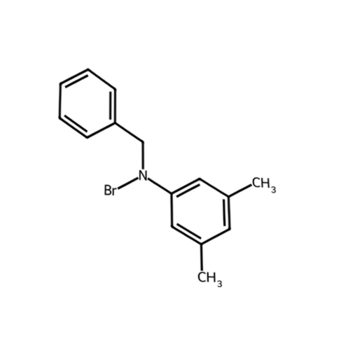 Cc1cc(C)cc(N(Br)Cc2ccccc2)c1